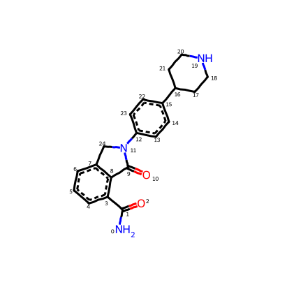 NC(=O)c1cccc2c1C(=O)N(c1ccc(C3CCNCC3)cc1)C2